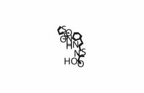 O=C(O)c1csc(-c2cc3cccc(NS(=O)(=O)c4cccs4)c3[nH]2)n1